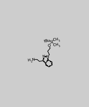 CC(C)(C)[Si](C)(C)OCCCn1nc(CCN)c2ccccc21